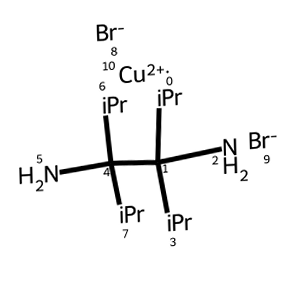 CC(C)C(N)(C(C)C)C(N)(C(C)C)C(C)C.[Br-].[Br-].[Cu+2]